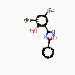 CC(C)(C)c1cc(-c2noc(-c3ccccc3)n2)c(O)c(C(C)(C)C)c1